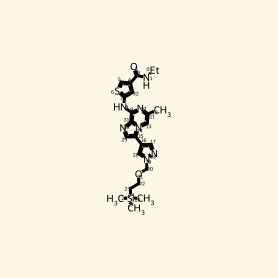 CCNC(=O)c1csc(Nc2nc(C)cn3c(-c4cnn(COCC[Si](C)(C)C)c4)cnc23)c1